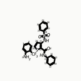 Nc1ccccc1C(F)(F)F.O=C(Nc1ccccc1)c1sccc1NS(=O)(=O)c1ccccc1